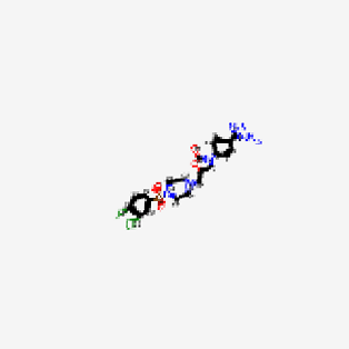 N=C(N)c1ccc(N2CC(CN3CCN(S(=O)(=O)c4ccc(F)c(Cl)c4)CC3)OC2=O)cc1